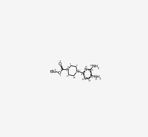 CC(C)(C)OC(=O)N1CCN(c2ncc(N)c(N)n2)CC1